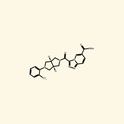 CNC(=O)c1ccc2nnc(C(=O)N3C[C@@H]4CN(c5ccccc5C(F)(F)F)C[C@@H]4C3)n2c1